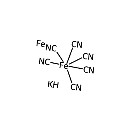 N#[C][Fe]([C]#N)([C]#N)([C]#N)([C]#N)[C]#N.[Fe].[KH]